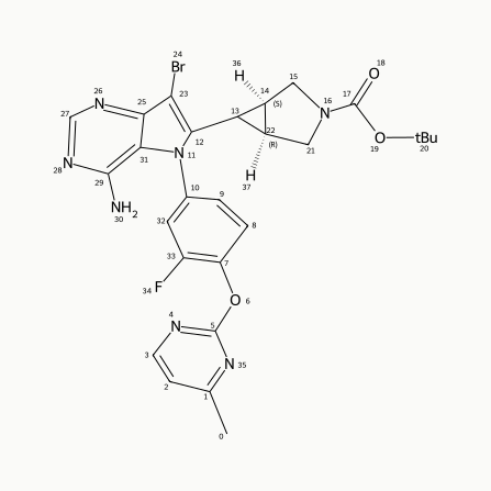 Cc1ccnc(Oc2ccc(-n3c(C4[C@H]5CN(C(=O)OC(C)(C)C)C[C@@H]45)c(Br)c4ncnc(N)c43)cc2F)n1